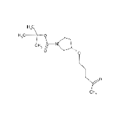 CC(=O)CCCO[C@H]1CCN(C(=O)OC(C)(C)C)C1